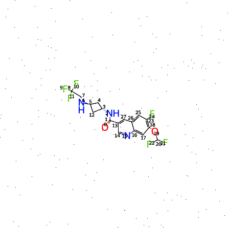 O=C(N[C@H]1C[C@H](NCC(F)(F)F)C1)c1cnc2cc(OC(F)F)c(F)cc2c1